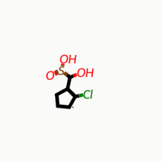 O=S(O)C(O)C1CC[CH]C1Cl